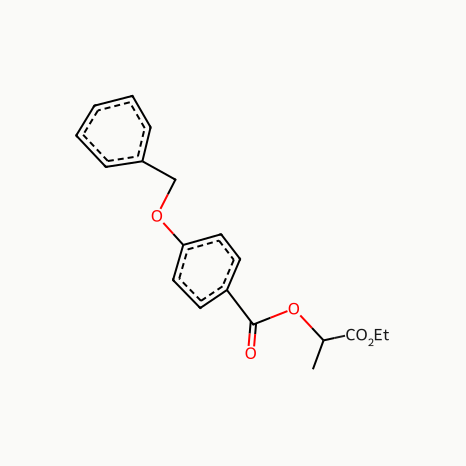 CCOC(=O)C(C)OC(=O)c1ccc(OCc2ccccc2)cc1